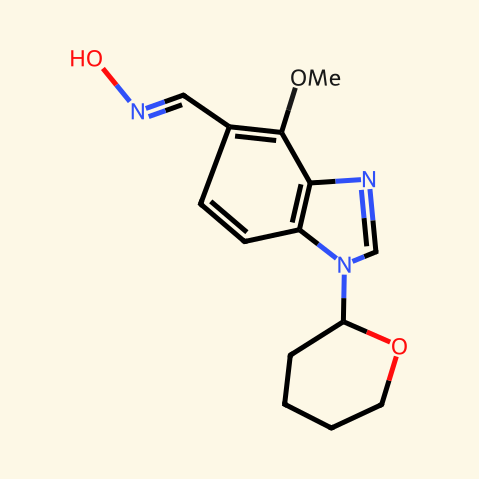 COc1c(C=NO)ccc2c1ncn2C1CCCCO1